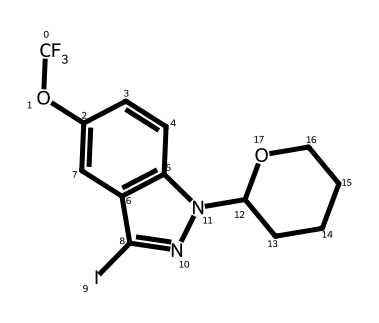 FC(F)(F)Oc1ccc2c(c1)c(I)nn2C1CCCCO1